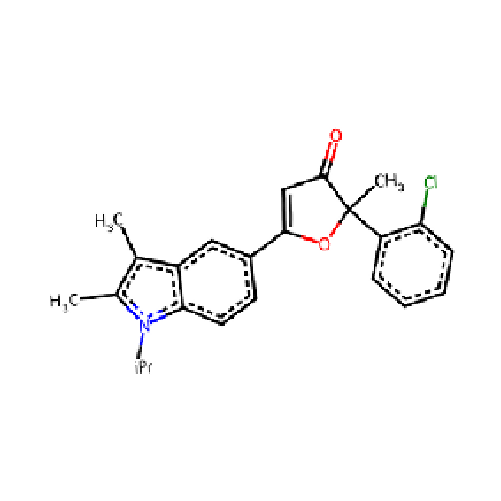 Cc1c(C)n(C(C)C)c2ccc(C3=CC(=O)C(C)(c4ccccc4Cl)O3)cc12